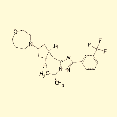 CC(C)n1nc(-c2cccc(C(F)(F)F)c2)nc1C1[C@H]2CC(N3CCCOCC3)C[C@@H]12